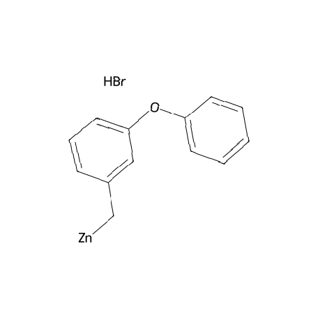 Br.[Zn][CH2]c1cccc(Oc2ccccc2)c1